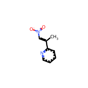 CC(=C[N+](=O)[O-])c1ccccn1